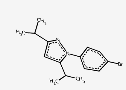 CC(C)c1cc(C(C)C)n(-c2ccc(Br)cc2)n1